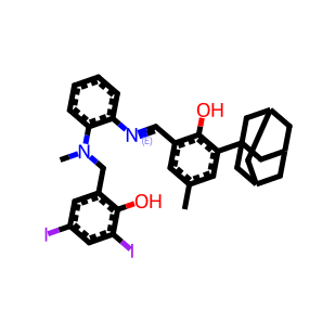 Cc1cc(/C=N/c2ccccc2N(C)Cc2cc(I)cc(I)c2O)c(O)c(C23CC4CC(CC(C4)C2)C3)c1